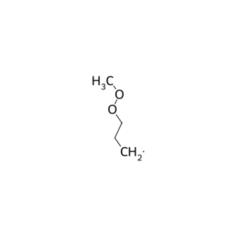 [CH2]CCOOC